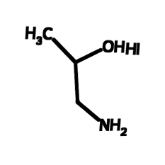 CC(O)CN.I